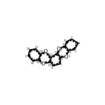 [c]1cc2oc3ccccc3oc2c2oc3ccccc3oc12